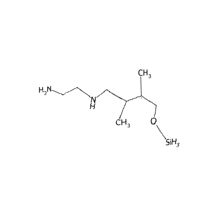 C[C](CO[SiH3])C(C)CNCCN